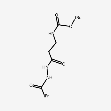 CC(C)C(=O)NNC(=O)CCNC(=O)OC(C)(C)C